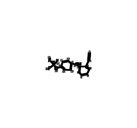 N#Cc1ccccc1Nc1ccc(OC(F)(F)F)cc1